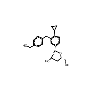 OCc1ccc(Cc2cc([C@H]3CC(O)C[C@@H](CO)O3)ccc2C2CC2)cc1